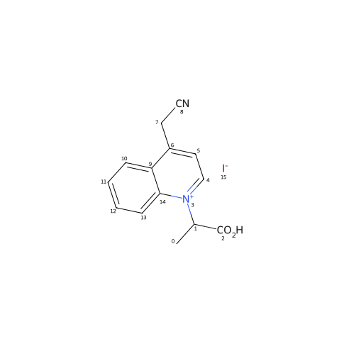 CC(C(=O)O)[n+]1ccc(CC#N)c2ccccc21.[I-]